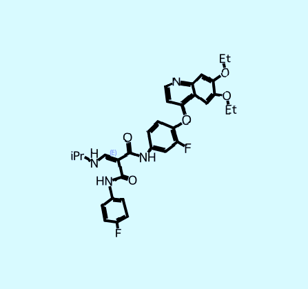 CCOc1cc2nccc(Oc3ccc(NC(=O)/C(=C/NC(C)C)C(=O)Nc4ccc(F)cc4)cc3F)c2cc1OCC